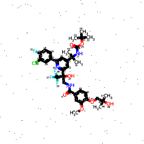 COc1cc(C(=O)NCC(O)(c2cc(C(C)(C)NC(=O)OC(C)(C)C)cc(-c3ccc(F)c(Cl)c3)n2)C(F)(F)F)ccc1OCC(C)(C)O